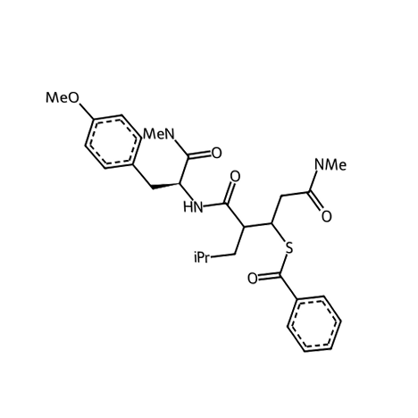 CNC(=O)CC(SC(=O)c1ccccc1)C(CC(C)C)C(=O)N[C@@H](Cc1ccc(OC)cc1)C(=O)NC